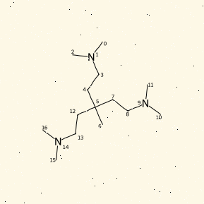 CN(C)CCC(C)(CCN(C)C)CCN(C)C